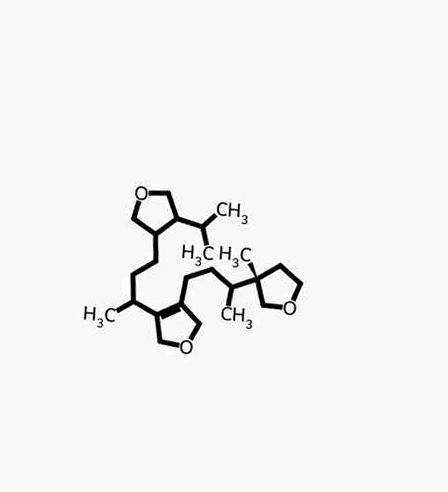 CC(CCC1COCC1C(C)C)C1=C(CCC(C)[C@]2(C)CCOC2)COC1